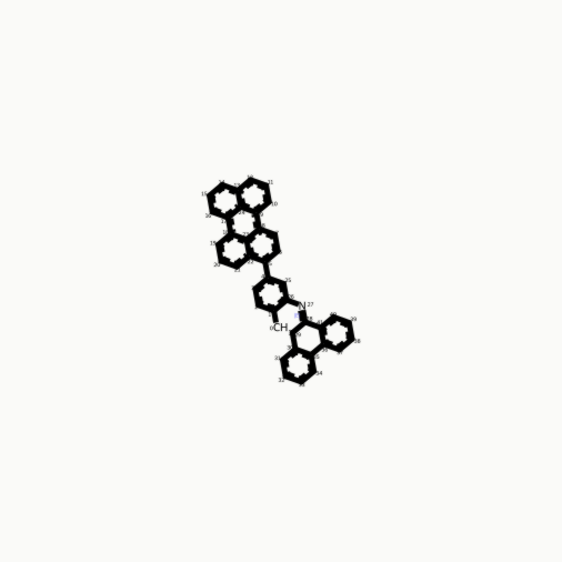 Cc1ccc(-c2ccc3c4cccc5cccc(c6cccc2c63)c54)cc1/N=C1\Cc2ccccc2-c2ccccc21